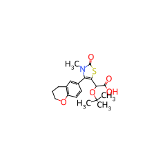 Cn1c(-c2ccc3c(c2)CCCO3)c(C(OC(C)(C)C)C(=O)O)sc1=O